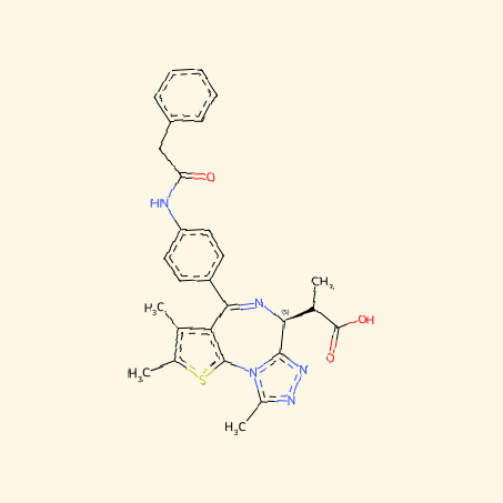 Cc1sc2c(c1C)C(c1ccc(NC(=O)Cc3ccccc3)cc1)=N[C@@H](C(C)C(=O)O)c1nnc(C)n1-2